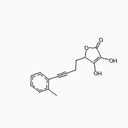 Cc1ccccc1C#CCCC1OC(=O)C(O)=C1O